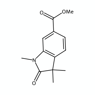 COC(=O)c1ccc2c(c1)N(C)C(=O)C2(C)C